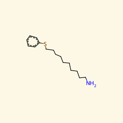 NCCCCCCCCCCSc1ccccc1